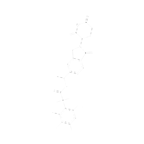 Bc1cc(Cl)c(B)c(B)c1C(F)(F)C(=O)NC(B)c1ccc2c(c1)CN(C1CCC(=O)NC1=O)C2=O